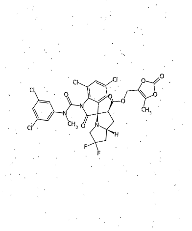 Cc1oc(=O)oc1COC(=O)[C@H]1C[C@@H]2CC(F)(F)CN2[C@]12C(=O)N(C(=O)N(C)c1cc(Cl)cc(Cl)c1)c1c(Cl)cc(Cl)cc12